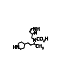 CC(CCC1CCNCC1)N(Cc1cc[nH]n1)C(=O)O